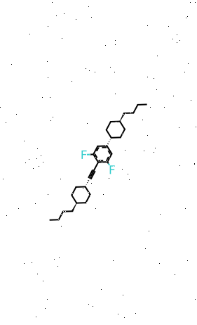 CCCC[C@H]1CC[C@H](C#Cc2c(F)cc([C@H]3CC[C@H](CCCC)CC3)cc2F)CC1